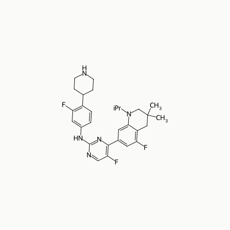 CC(C)N1CC(C)(C)Cc2c(F)cc(-c3nc(Nc4ccc(C5CCNCC5)c(F)c4)ncc3F)cc21